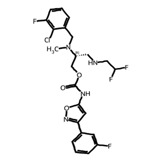 CN(Cc1cccc(F)c1Cl)[C@H](CNCC(F)F)COC(=O)Nc1cc(-c2cccc(F)c2)no1